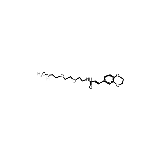 CNCCOCCOCCNC(=O)/C=C/c1ccc2c(c1)OCCO2